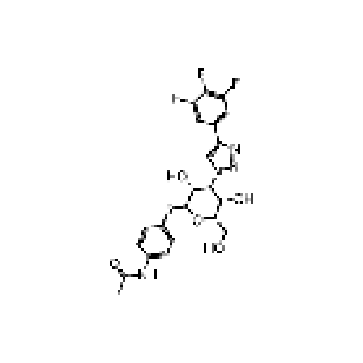 CC(=O)Nc1ccc(SC2O[C@H](CO)[C@H](O)[C@H](n3cc(-c4cc(F)c(F)c(F)c4)nn3)[C@H]2O)cc1